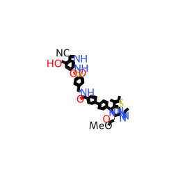 COC(=O)C[C@@H]1N=C(c2ccc(-c3ccc(C(=O)NCc4ccc(S(=O)(=O)Nc5ccc(CO)c6c(C#N)c[nH]c56)cc4)cc3)cc2)c2c(sc(C)c2C)-n2c(C)nnc21